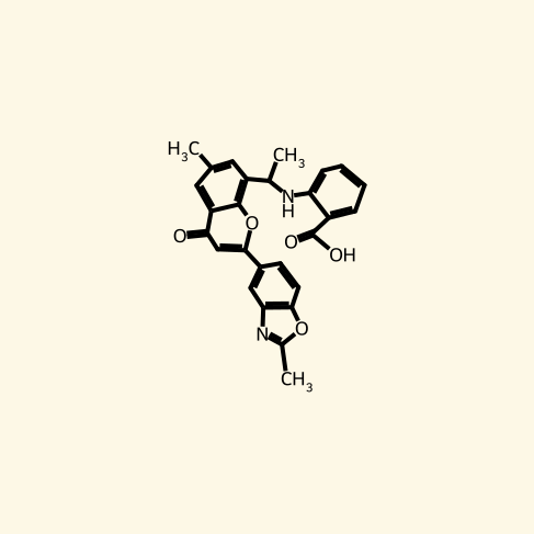 Cc1cc(C(C)Nc2ccccc2C(=O)O)c2oc(-c3ccc4oc(C)nc4c3)cc(=O)c2c1